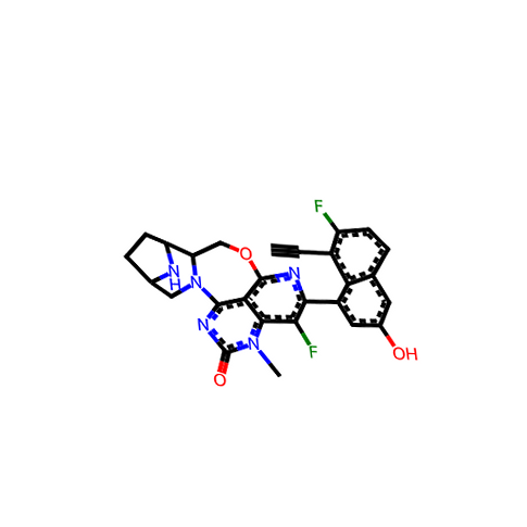 C#Cc1c(F)ccc2cc(O)cc(-c3nc4c5c(nc(=O)n(C)c5c3F)N3CC5CCC(N5)C3CO4)c12